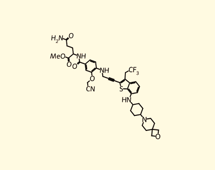 COC(=O)C(CCC(N)=O)NC(=O)c1ccc(NCC#Cc2sc3c(NC4CCC(N5CCC6(CC5)COC6)CC4)cccc3c2CC(F)(F)F)c(OCC#N)c1